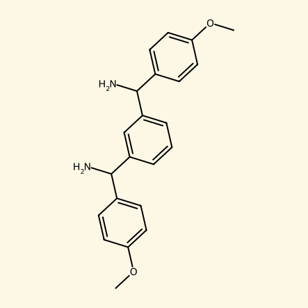 COc1ccc(C(N)c2cccc(C(N)c3ccc(OC)cc3)c2)cc1